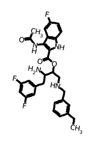 CCc1cccc(CNCC(OC(=O)c2[nH]c3ccc(F)cc3c2NC(C)=O)C(N)Cc2cc(F)cc(F)c2)c1